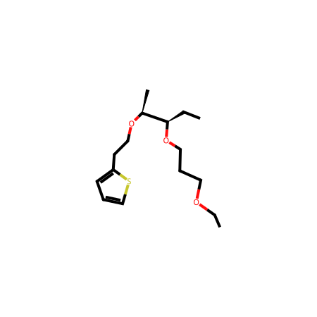 CCOCCCO[C@H](CC)[C@H](C)OCCc1cccs1